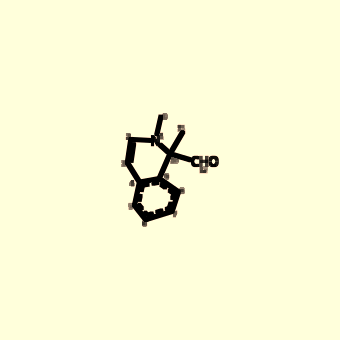 CN1C=Cc2ccccc2C1(C)C=O